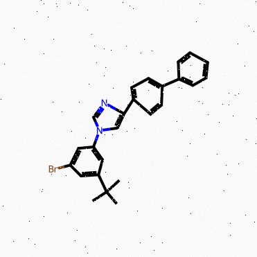 CC(C)(C)c1cc(Br)cc(-n2cnc(-c3ccc(-c4ccccc4)cc3)c2)c1